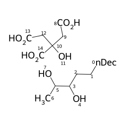 CCCCCCCCCCCCC(O)C(C)O.O=C(O)CC(O)(CC(=O)O)C(=O)O